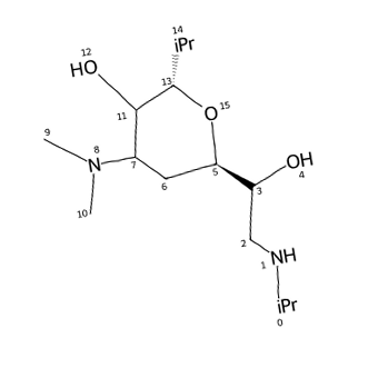 CC(C)NCC(O)[C@H]1CC(N(C)C)C(O)[C@H](C(C)C)O1